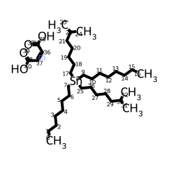 CCCCCCC[CH2][Sn]([CH2]CCCCCCC)([CH2]CCCCC(C)C)[CH2]CCCCC(C)C.O=C(O)/C=C\C(=O)O